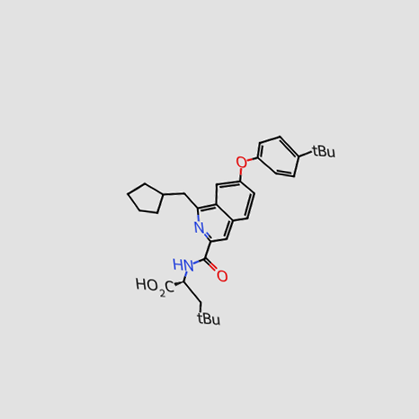 CC(C)(C)C[C@H](NC(=O)c1cc2ccc(Oc3ccc(C(C)(C)C)cc3)cc2c(CC2CCCC2)n1)C(=O)O